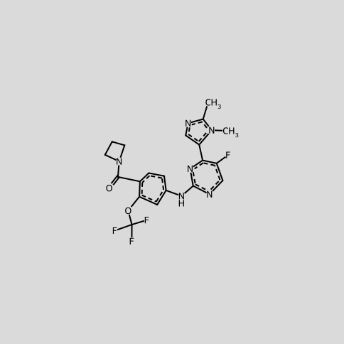 Cc1ncc(-c2nc(Nc3ccc(C(=O)N4CCC4)c(OC(F)(F)F)c3)ncc2F)n1C